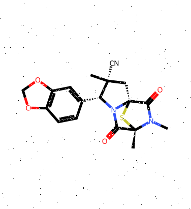 CN1C(=O)[C@]23C[C@@](C)(C#N)[C@@H](c4ccc5c(c4)OCO5)N2C(=O)[C@]1(C)S3